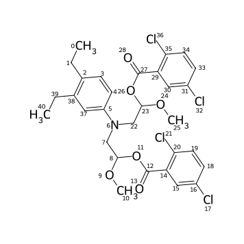 CCc1ccc(N(CC(OC)OC(=O)c2cc(Cl)ccc2Cl)CC(OC)OC(=O)c2cc(Cl)ccc2Cl)cc1CC